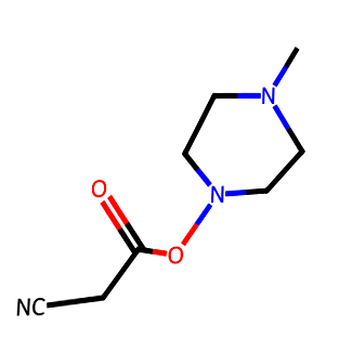 CN1CCN(OC(=O)CC#N)CC1